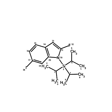 CC(C)[Si](C(C)C)(C(C)C)n1c(F)cc2ccc(I)cc21